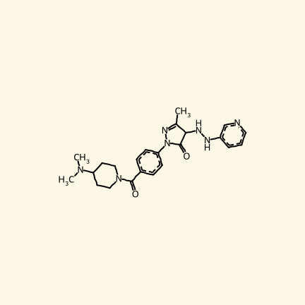 CC1=NN(c2ccc(C(=O)N3CCC(N(C)C)CC3)cc2)C(=O)C1NNc1cccnc1